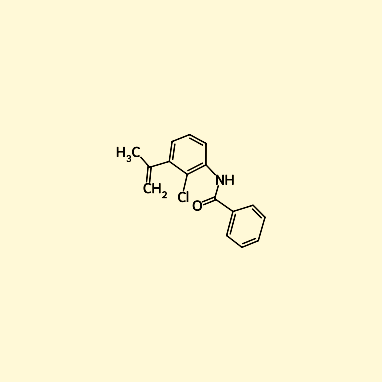 C=C(C)c1cccc(NC(=O)c2ccccc2)c1Cl